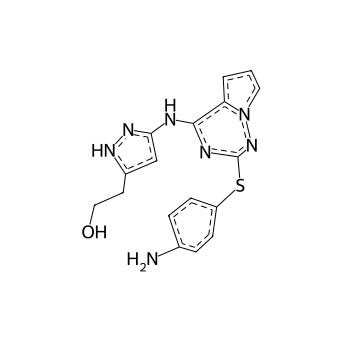 Nc1ccc(Sc2nc(Nc3cc(CCO)[nH]n3)c3cccn3n2)cc1